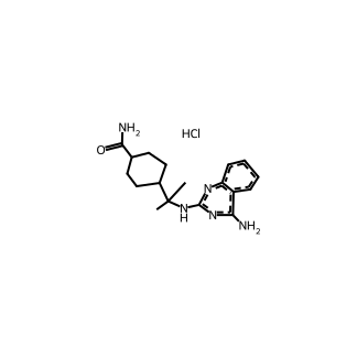 CC(C)(Nc1nc(N)c2ccccc2n1)C1CCC(C(N)=O)CC1.Cl